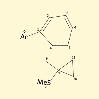 CC(=O)c1ccccc1.CSC1(C)CC1